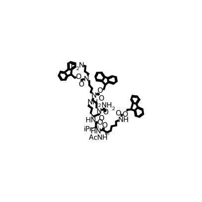 CC(=O)N[C@@H](CCCCNC(=O)OCC1c2ccccc2-c2ccccc21)C(=O)N[C@H](C(=O)N[C@@H](CCCN)C(=O)N(CCCN(CCCCN(CCCN)C(=O)OCC1c2ccccc2-c2ccccc21)C(=O)OCC1c2ccccc2-c2ccccc21)C(N)=O)C(C)C